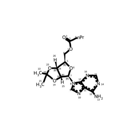 CCCC(=O)OC[C@H]1O[C@@H](n2cnc3c(N)ncnc32)[C@@H]2OC(C)(C)O[C@@H]21